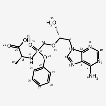 C[C@H](Cn1cnc2c(N)ncnc21)OCP(=O)(N[C@@H](C)C(=O)O)Oc1ccccc1.O